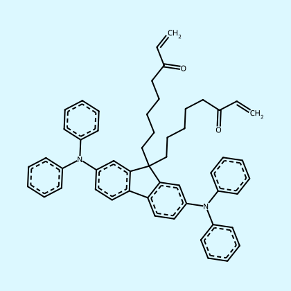 C=CC(=O)CCCCCC1(CCCCCC(=O)C=C)c2cc(N(c3ccccc3)c3ccccc3)ccc2-c2ccc(N(c3ccccc3)c3ccccc3)cc21